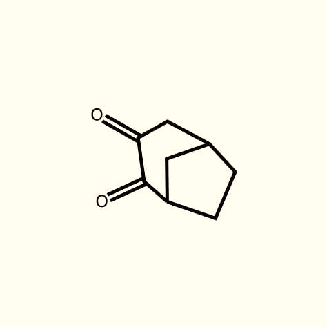 O=C1CC2CCC(C2)C1=O